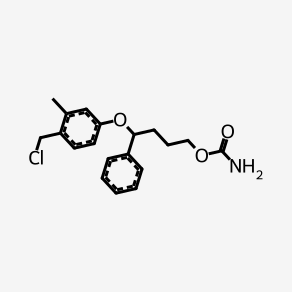 Cc1cc(OC(CCCOC(N)=O)c2ccccc2)ccc1CCl